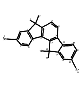 CC1(C)c2cc(Br)ccc2-c2c1ccc1c2C(C)(C)c2cc(Br)ccc2-1